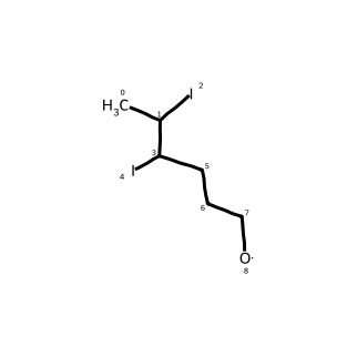 CC(I)C(I)CCC[O]